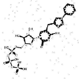 Nc1nc(=O)n([C@@H]2O[C@H](COP(=O)(O)OP(=O)(O)OP(=O)(O)O)C(O)[C@@H]2O)cc1Cc1cn(-c2ccccc2)nn1